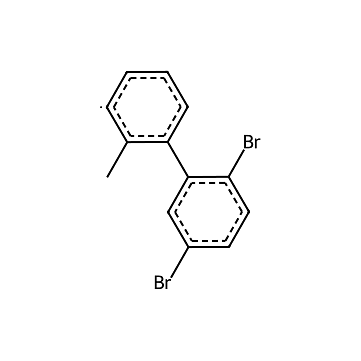 Cc1[c]cccc1-c1cc(Br)ccc1Br